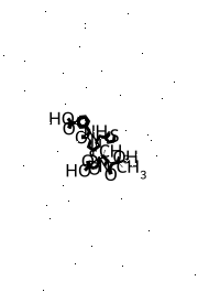 C[C@H]1C(S[C@H]2C[C@@H](C(=O)Nc3cccc(C(=O)O)c3)N(CC3=CSCC3)C2)=C(OC(=O)O)N2C(=O)[C@H]([C@@H](C)O)C12